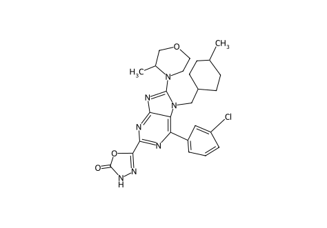 CC1CCC(Cn2c(N3CCOCC3C)nc3nc(-c4n[nH]c(=O)o4)nc(-c4cccc(Cl)c4)c32)CC1